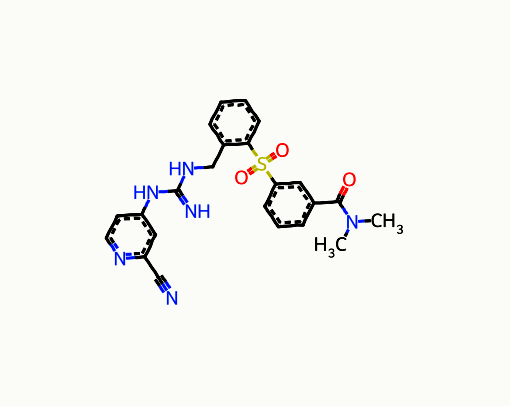 CN(C)C(=O)c1cccc(S(=O)(=O)c2ccccc2CNC(=N)Nc2ccnc(C#N)c2)c1